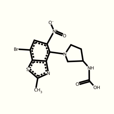 Cc1nc2c(N3CCC(NC(=O)O)C3)c([N+](=O)[O-])cc(Br)c2s1